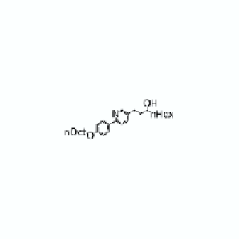 CCCCCCCCOc1ccc(-c2ccc(CCC(O)CCCCCC)cn2)cc1